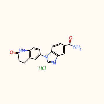 Cl.NC(=O)c1ccc2c(c1)ncn2-c1ccc2c(c1)CCC(=O)N2